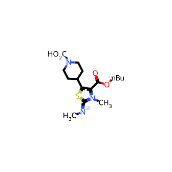 CCCCOC(=O)c1c(C2CCN(C(=O)O)CC2)s/c(=N\C)n1C